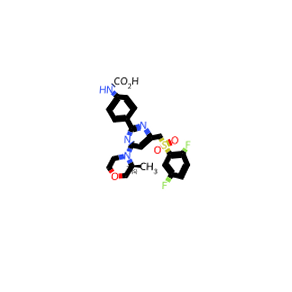 C[C@H]1COCCN1c1cc(CS(=O)(=O)c2cc(F)ccc2F)nc(-c2ccc(NC(=O)O)cc2)n1